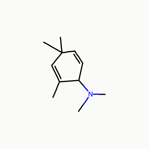 CC1=CC(C)(C)C=CC1N(C)C